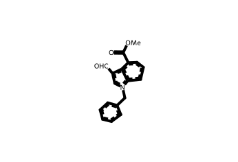 COC(=O)c1cccc2c1c(C=O)cn2Cc1ccccc1